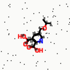 CC(C)OCc1cnc(C(=O)O)c(C(=O)O)c1